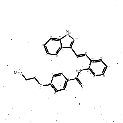 COCCOc1ccc(C(=O)Nc2ccccc2/C=C/c2n[nH]c3ccccc23)cc1